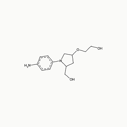 Nc1ccc(N2CC(OCCO)CC2CO)cc1